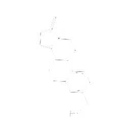 C/C=C1\CCC2C3CCc4cc(CO)ccc4C3CCC12C